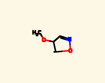 COC1[CH]ON=C1